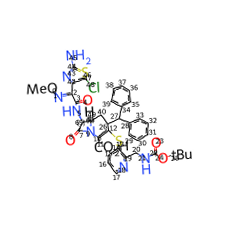 CON=C(C(=O)N[C@@H]1C(=O)N2C(C(=O)O)=C(Sc3cccnc3CNC(=O)OC(C)(C)C)C(C(c3ccccc3)c3ccccc3)C[C@H]12)c1nc(N)sc1Cl